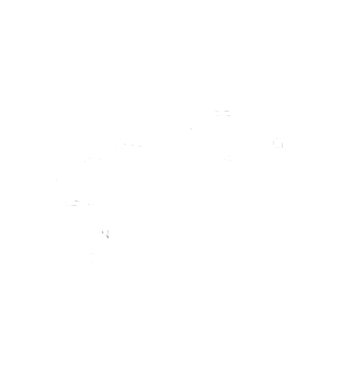 O=C=Nc1cccc(OCCc2ccc(Cl)cc2)c1